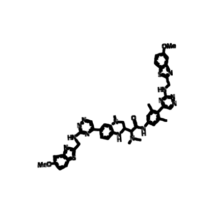 COc1ccc2sc(CNc3nncc(-c4ccc(NC(CN(C)C)C(C(=O)Nc5cc(C)c(-c6cnnc(NCc7nc8cc(OC)ccc8s7)n6)c(C)c5)N(C)C)cc4)n3)nc2c1